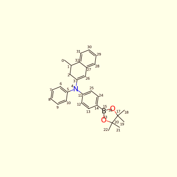 CC1CC(N(c2ccccc2)c2ccc(B3OC(C)(C)C(C)(C)O3)cc2)=Cc2ccccc21